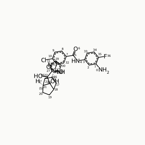 Nc1cc(NC(=O)c2ccc(Cl)c(S(=O)(=O)[C@@H]3CC4CC[C@@H](C3)[C@@]4(O)C(O)c3ncc[nH]3)c2)ccc1F